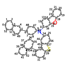 c1ccc2cc(-c3ccc(N(c4ccc5c(c4)oc4ccccc45)c4ccc5sc6cccc(-c7cccc8ccccc78)c6c5c4)cc3)ccc2c1